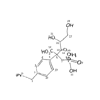 CC(C)Cc1ccc(C(CP(=O)(O)O)(C(=O)O)C(=O)C(O)CO)cc1